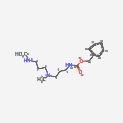 CN(CCCNC(=O)O)CCCNC(=O)OCc1ccccc1